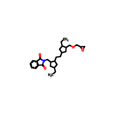 CCC1CC(CCC2CC(CC)C(COCC3CO3)C2)C(CN2C(=O)c3ccccc3C2=O)C1